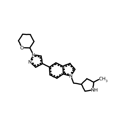 CC1CC(Cn2ccc3cc(-c4cnn(C5CCCCO5)c4)ccc32)CN1